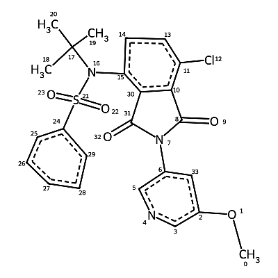 COc1cncc(N2C(=O)c3c(Cl)ccc(N(C(C)(C)C)S(=O)(=O)c4ccccc4)c3C2=O)c1